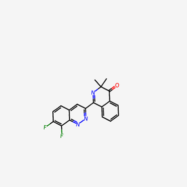 CC1(C)N=C(c2cc3ccc(F)c(F)c3nn2)c2ccccc2C1=O